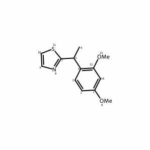 COc1ccc(C(C)c2nccs2)c(OC)c1